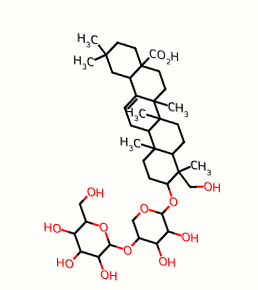 CC1(C)CCC2(C(=O)O)CCC3(C)C(=CCC4C5(C)CCC(OC6OCC(OC7OC(CO)C(O)C(O)C7O)C(O)C6O)C(C)(CO)C5CCC43C)C2C1